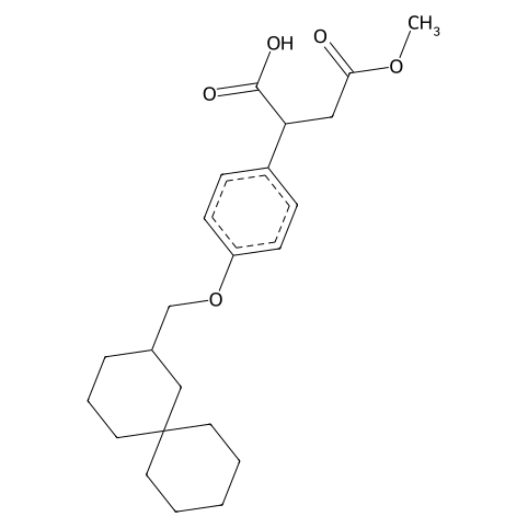 COC(=O)CC(C(=O)O)c1ccc(OCC2CCCC3(CCCCC3)C2)cc1